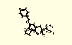 CC(C)N(Cc1cc(OCc2ccccc2)c2c(c1Br)CCO2)N=O